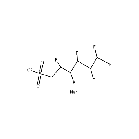 O=S(=O)([O-])CC(F)C(F)C(F)C(F)C(F)F.[Na+]